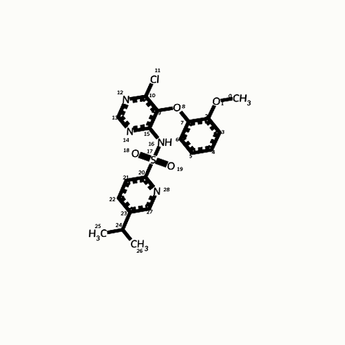 COc1ccccc1Oc1c(Cl)ncnc1NS(=O)(=O)c1ccc(C(C)C)cn1